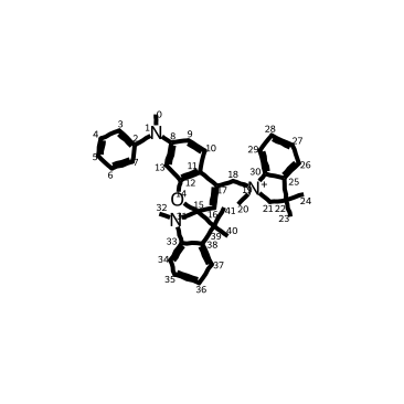 CN(c1ccccc1)c1ccc2c(c1)OC1(C=C2C[N+]2(C)CC(C)(C)c3ccccc32)N(C)c2ccccc2C1(C)C